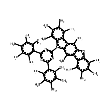 Bc1c(B)c(B)c(-c2nc(-c3c(B)c(B)c(B)c(B)c3B)nc(-n3c4c(B)c(B)c(B)c(B)c4c4c(B)c5oc6c(B)c(B)c(B)c(B)c6c5c(B)c43)n2)c(B)c1B